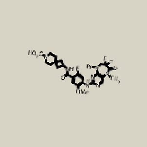 COc1cc(C(=O)NC2CC3(CCN(C(=O)O)CC3)C2)c(F)cc1Nc1ncc2c(n1)N(C(C)C)CC(F)(F)C(=O)N2C